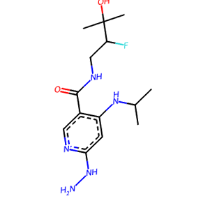 CC(C)Nc1cc(NN)ncc1C(=O)NCC(F)C(C)(C)O